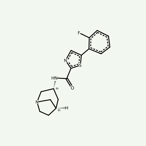 O=C(N[C@@H]1C[C@H]2CCN(C2)C1)c1ncc(-c2ccccc2F)s1